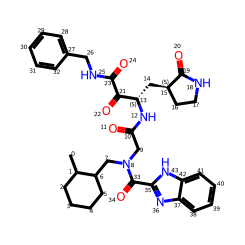 CC1CCCCC1CN(CC(=O)N[C@@H](C[C@@H]1CCNC1=O)C(=O)C(=O)NCc1ccccc1)C(=O)c1nc2ccccc2[nH]1